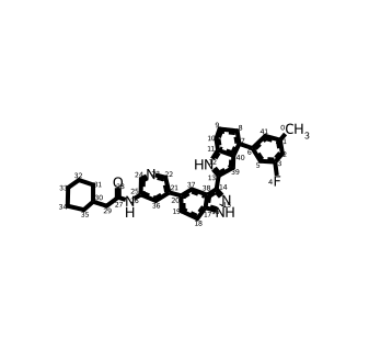 Cc1cc(F)cc(-c2cccc3[nH]c(-c4n[nH]c5ccc(-c6cncc(NC(=O)CC7CCCCC7)c6)cc45)cc23)c1